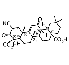 CC1(C)CC[C@]2(C(=O)O)CC[C@]3(C)[C@H](C(=O)C=C4[C@@]5(C)C=C(C#N)C(=O)[C@](C)(C(=O)O)[C@@H]5CC[C@]43C)[C@@H]2C1